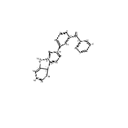 c1ccc(Nc2cccc(-c3ccc4c(c3)sc3ccccc34)c2)cc1